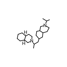 CC(C)N1CCC2CC(CC(C)N3CC[C@@H]4CCCC[C@H]4C3)CCC2C1